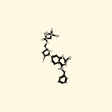 O=P(O)(O)CP(=O)(O)OC[C@@H]1C[C@H](F)[C@@H](c2ccc3c(NCc4ccccc4)nc(Cl)nc3c2)O1